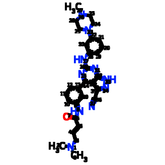 CN(C)C/C=C/C(=O)Nc1cccc(-c2nc(Nc3cccc(N4CCN(C)CC4)c3)nc3[nH]nc(C#N)c23)c1